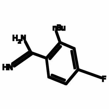 CCCCc1cc(F)ccc1C(=N)N